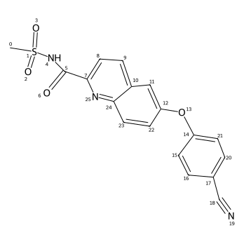 CS(=O)(=O)NC(=O)c1ccc2cc(Oc3ccc(C#N)cc3)ccc2n1